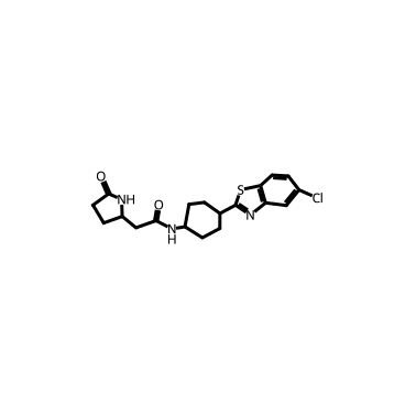 O=C(CC1CCC(=O)N1)NC1CCC(c2nc3cc(Cl)ccc3s2)CC1